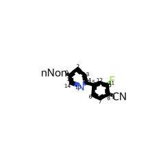 CCCCCCCCCc1ccc(-c2ccc(C#N)c(F)c2)nc1